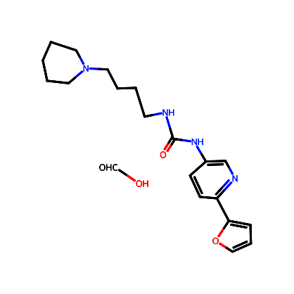 O=C(NCCCCN1CCCCC1)Nc1ccc(-c2ccco2)nc1.O=CO